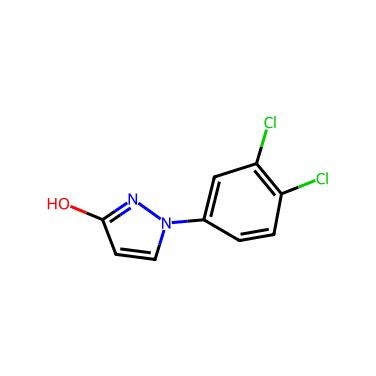 Oc1ccn(-c2ccc(Cl)c(Cl)c2)n1